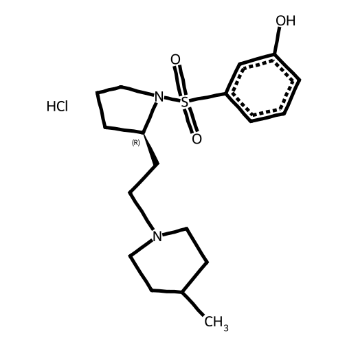 CC1CCN(CC[C@H]2CCCN2S(=O)(=O)c2cccc(O)c2)CC1.Cl